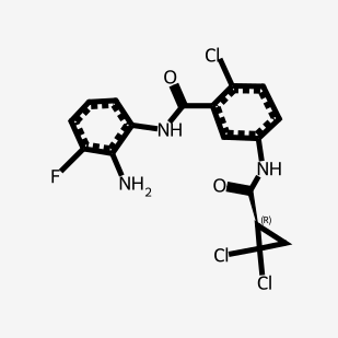 Nc1c(F)cccc1NC(=O)c1cc(NC(=O)[C@H]2CC2(Cl)Cl)ccc1Cl